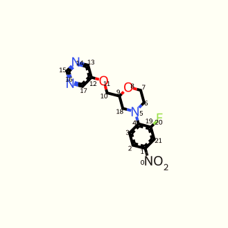 O=[N+]([O-])c1ccc(N2CCOC(COc3cncnc3)C2)c(F)c1